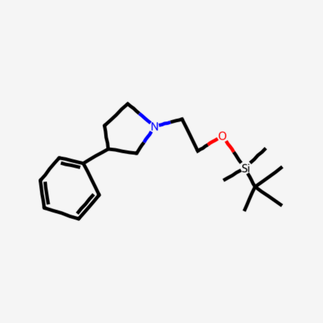 CC(C)(C)[Si](C)(C)OCCN1CCC(c2ccccc2)C1